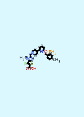 Cc1ccc(COc2cccc(C3=CCN(Cc4nc5sc(C(=O)O)c(F)c5n4C)CC3)n2)c(P)c1